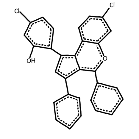 Oc1cc(Cl)ccc1-c1cc(-c2ccccc2)c2c(-c3ccccc3)oc3cc(Cl)ccc3c1-2